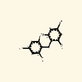 Fc1cc(F)c(Cc2c(F)cc(F)cc2F)c(F)c1